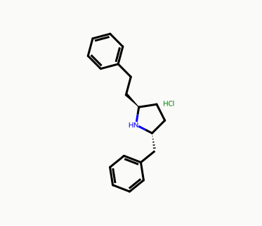 Cl.c1ccc(CC[C@H]2CC[C@H](Cc3ccccc3)N2)cc1